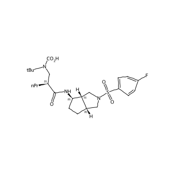 CCC[C@@H](CN(C(=O)O)C(C)(C)C)C(=O)N[C@@H]1CC[C@H]2CN(S(=O)(=O)c3ccc(F)cc3)C[C@H]21